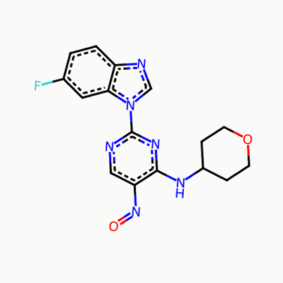 O=Nc1cnc(-n2cnc3ccc(F)cc32)nc1NC1CCOCC1